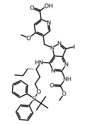 CCC[C@@H](CCO[Si](c1ccccc1)(c1ccccc1)C(C)(C)C)Nc1nc(NC(=O)OC)nc2c(I)nn(Cc3cnc(C(=O)O)cc3OC)c12